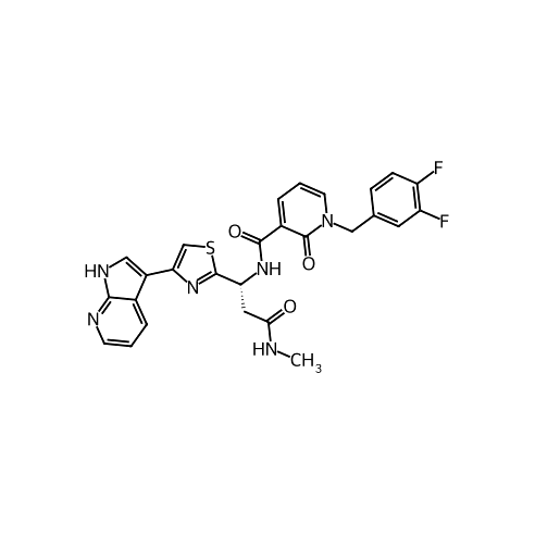 CNC(=O)C[C@@H](NC(=O)c1cccn(Cc2ccc(F)c(F)c2)c1=O)c1nc(-c2c[nH]c3ncccc23)cs1